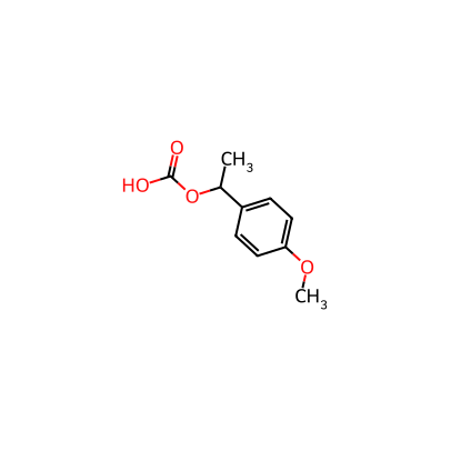 COc1ccc(C(C)OC(=O)O)cc1